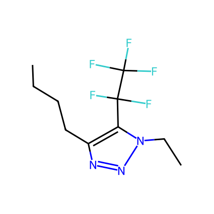 CCCCc1nnn(CC)c1C(F)(F)C(F)(F)F